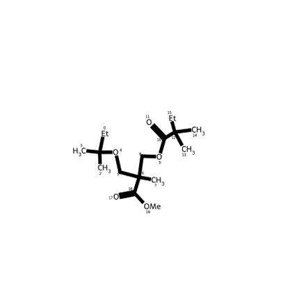 CCC(C)(C)OCC(C)(COC(=O)C(C)(C)CC)C(=O)OC